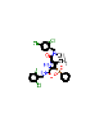 Cc1c(C(=O)N(C)Cc2ccc(Cl)cc2Cl)[nH]c(C(=O)NCc2c(F)cccc2Cl)c1S(=O)(=O)c1ccccc1